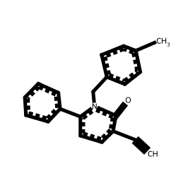 C#Cc1ccc(-c2ccccc2)n(Cc2ccc(C)cc2)c1=O